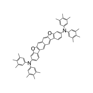 Cc1cc(N(c2cc(C)c(C)c(C)c2)c2ccc3c(c2)oc2cc4cc5oc6cc(N(c7cc(C)c(C)c(C)c7)c7cc(C)c(C)c(C)c7)ccc6c5cc4cc23)cc(C)c1C